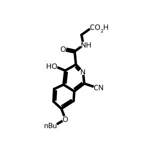 CCCCOc1ccc2c(O)c(C(=O)NCC(=O)O)nc(C#N)c2c1